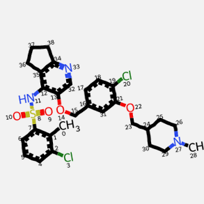 Cc1c(Cl)cccc1S(=O)(=O)Nc1c(OCc2ccc(Cl)c(OCC3CCN(C)CC3)c2)cnc2c1CCC2